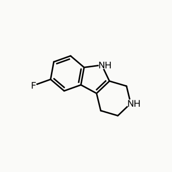 Fc1ccc2[nH]c3c(c2c1)CCNC3